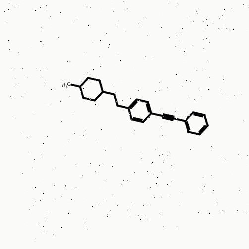 CC1CCC(CCc2ccc(C#Cc3ccccc3)cc2)CC1